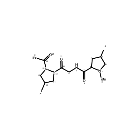 CCC(C)N1CC(I)CC1C(=O)NCC(=O)N1CC(I)CN1C(=O)C(C)C